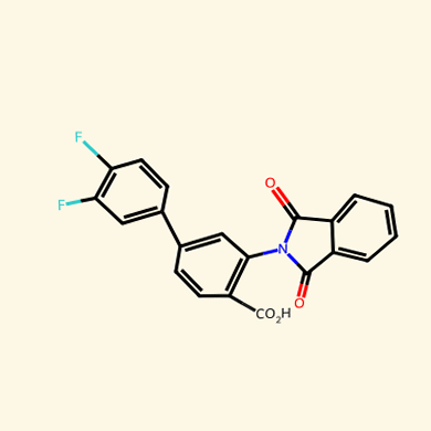 O=C(O)c1ccc(-c2ccc(F)c(F)c2)cc1N1C(=O)c2ccccc2C1=O